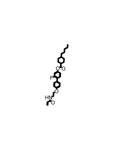 C=CC(=O)NCCOc1ccc(-c2ccc(OC(=O)C3CCC(CCCCC)CC3)cc2F)cc1